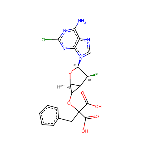 Nc1nc(Cl)nc2c1ncn2[C@@H]1O[C@@H]2C(OC(Cc3ccccc3)(C(=O)O)C(=O)O)C2[C@@H]1F